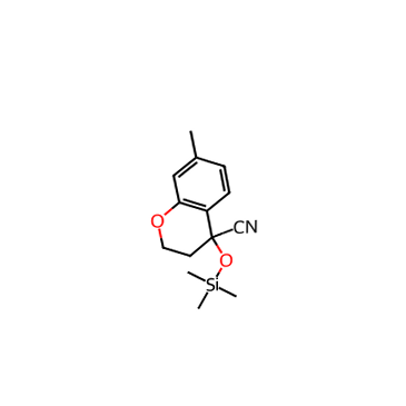 Cc1ccc2c(c1)OCCC2(C#N)O[Si](C)(C)C